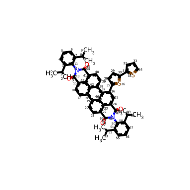 CC(C)c1cccc(C(C)C)c1N1C(=O)c2ccc3c4ccc5c6c(cc(-c7ccc(-c8cccs8)s7)c(c7ccc(c2c37)C1=O)c64)C(=O)N(c1c(C(C)C)cccc1C(C)C)C5=O